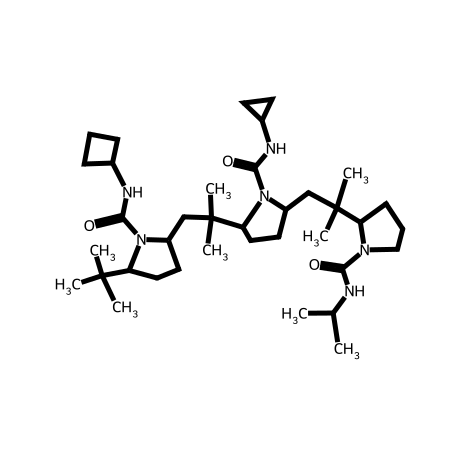 CC(C)NC(=O)N1CCCC1C(C)(C)CC1CCC(C(C)(C)CC2CCC(C(C)(C)C)N2C(=O)NC2CCC2)N1C(=O)NC1CC1